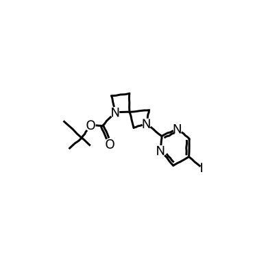 CC(C)(C)OC(=O)N1CCC12CN(c1ncc(I)cn1)C2